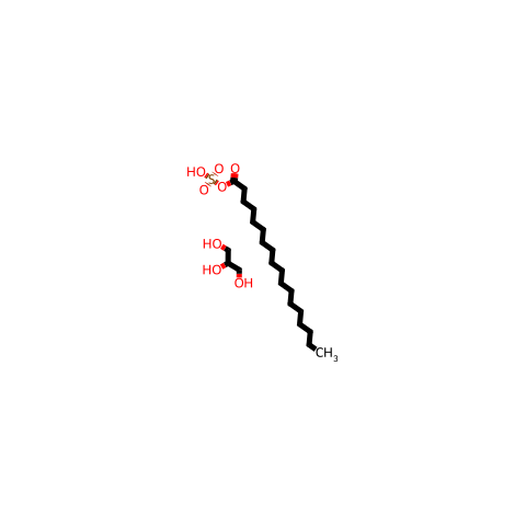 CCCCCCCCCCCCCCCCCC(=O)OS(=O)(=O)O.OCC(O)CO